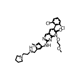 COCCOn1c(=O)c(-c2c(Cl)cccc2Cl)cc2cnc(Nc3cc(CNCCN4CCCC4)n(C)c3)nc21